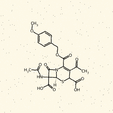 COc1ccc(COC(=O)C2=C(C(C)=O)C(C(=O)O)S[C@@H]3N2C(=O)C3(NC(C)=O)C(=O)O)cc1